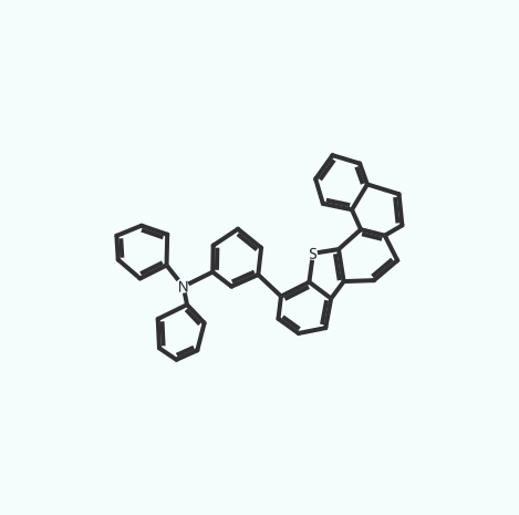 c1ccc(N(c2ccccc2)c2cccc(-c3cccc4c3sc3c4ccc4ccc5ccccc5c43)c2)cc1